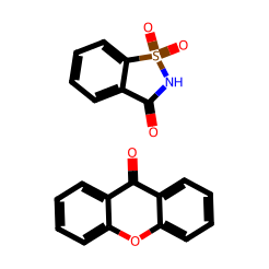 O=C1NS(=O)(=O)c2ccccc21.O=c1c2ccccc2oc2ccccc12